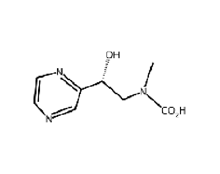 CN(C[C@@H](O)c1cnccn1)C(=O)O